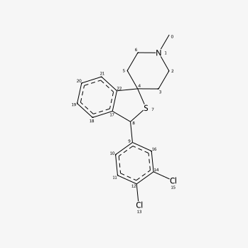 CN1CCC2(CC1)SC(c1ccc(Cl)c(Cl)c1)c1ccccc12